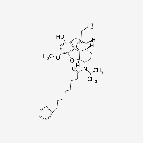 COc1cc(O)c2c3c1O[C@H]1[C@@H](N(C(=O)CCCCCCCc4ccccc4)C(C)C)CC[C@H]4[C@@H](C2)N(CC2CC2)CC[C@@]341